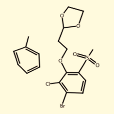 CS(=O)(=O)c1ccc(Br)c(Cl)c1OCCC1OCCO1.Cc1ccccc1